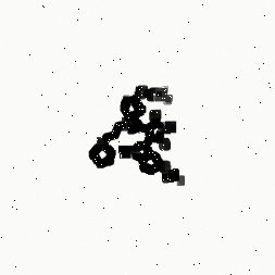 COc1ccc2[nH]cc(C3=C(c4cn(CCCN5CCCCC5)c5ccc(OC)cc45)C(=O)NC3=O)c2c1